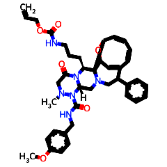 C=CCOC(=O)NCCC[C@@H]1N2C(=O)CN(C)N(C(=O)NCc3ccc(OC)cc3)[C@H]2CN2CC(c3ccccc3)C3=CC4OC(/C=C\C=C/3)C412